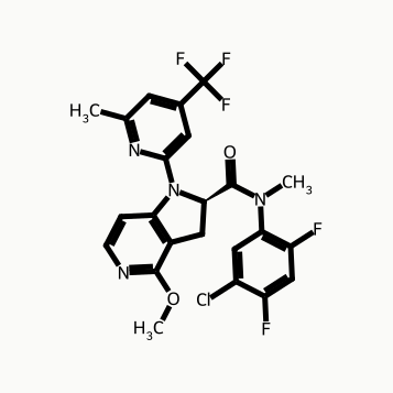 COc1nccc2c1C[C@H](C(=O)N(C)c1cc(Cl)c(F)cc1F)N2c1cc(C(F)(F)F)cc(C)n1